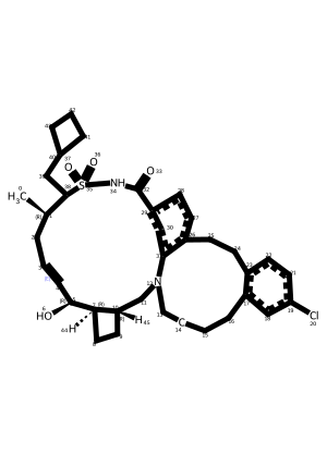 C[C@@H]1C/C=C/[C@H](O)[C@@H]2CC[C@H]2CN2CCCCc3cc(Cl)ccc3CCc3ccc(cc32)C(=O)NS(=O)(=O)C1CC1CCC1